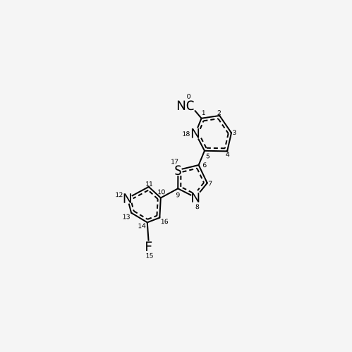 N#Cc1cccc(-c2cnc(-c3cncc(F)c3)s2)n1